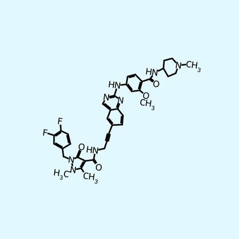 COc1cc(Nc2ncc3cc(C#CCNC(=O)c4c(C)n(C)n(Cc5ccc(F)c(F)c5)c4=O)ccc3n2)ccc1C(=O)NC1CCN(C)CC1